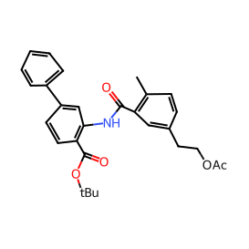 CC(=O)OCCc1ccc(C)c(C(=O)Nc2cc(-c3ccccc3)ccc2C(=O)OC(C)(C)C)c1